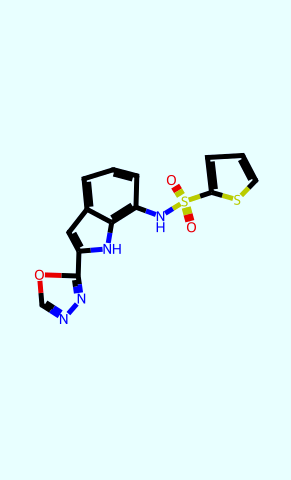 O=S(=O)(Nc1cccc2cc(-c3nnco3)[nH]c12)c1cccs1